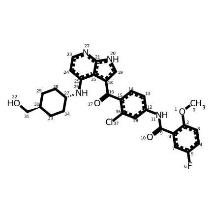 COc1ccc(F)cc1C(=O)Nc1ccc(C(=O)c2c[nH]c3nccc(N[C@H]4CC[C@H](CO)CC4)c23)c(Cl)c1